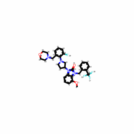 COc1cccc2c1n(Cc1ccccc1C(F)(F)F)c(=O)n2C1CCN(c2c(F)cccc2CN2CCOCC2)C1